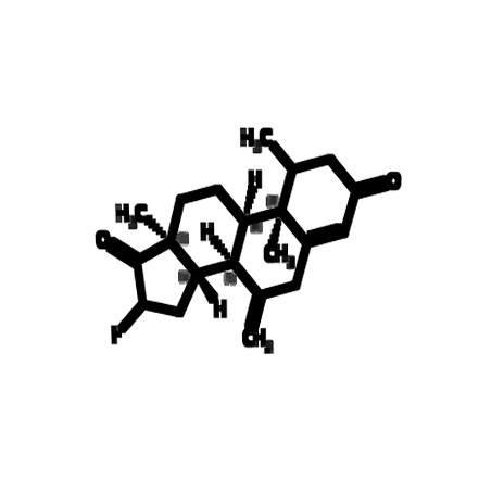 C=C1CC2=CC(=O)CC(C)[C@]2(C)[C@@H]2CC[C@]3(C)C(=O)C(F)C[C@H]3[C@H]12